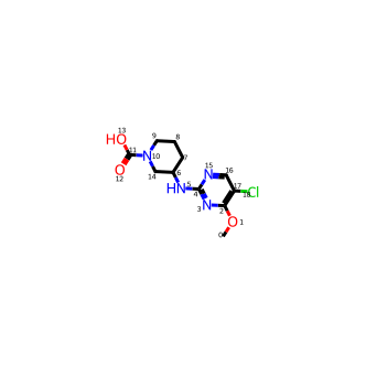 COc1nc(NC2CCCN(C(=O)O)C2)ncc1Cl